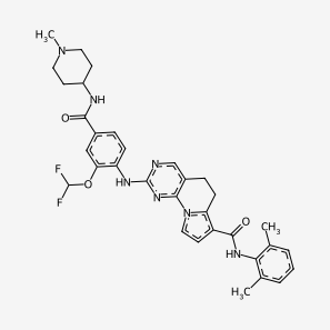 Cc1cccc(C)c1NC(=O)c1ccn2c1CCc1cnc(Nc3ccc(C(=O)NC4CCN(C)CC4)cc3OC(F)F)nc1-2